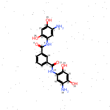 Nc1cc(NC(=O)c2cccc(C(=O)Nc3cc(N)c(O)cc3O)c2)c(O)cc1O